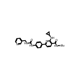 CCCCNC(=O)c1ccc(-c2ccc(NC(=O)NCc3cccnc3)cc2)nc1NC1CC1